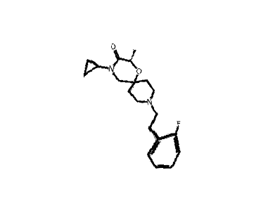 C[C@H]1OC2(CCN(CCc3ccccc3F)CC2)CN(C2CC2)C1=O